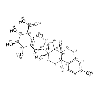 C[C@]12CC[C@@H]3c4ccc(O)cc4CC[C@H]3[C@@H]1C[C@@H](O)[C@@H]2O[C@@H]1O[C@H](C(=O)O)[C@@H](O)[C@H](O)[C@H]1O